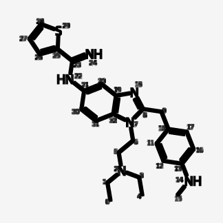 CCN(CC)CCn1c(Cc2ccc(NC)cc2)nc2cc(NC(=N)c3cccs3)ccc21